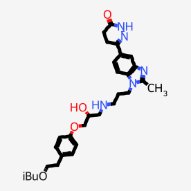 Cc1nc2cc(C3=NNC(=O)CC3)ccc2n1CCCNCC(O)COc1ccc(CCOCC(C)C)cc1